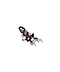 CC[C@@H](C)Nc1c(C(N)=O)cc(Br)c(C(=O)NC2CC3CCC(C2)N3c2ccc(C(=O)C3CC3)cn2)c1Cl